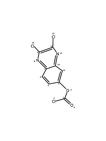 O=C(Cl)Oc1ccc2nc(Cl)c(Cl)nc2c1